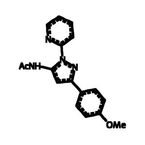 COc1ccc(-c2cc(NC(C)=O)n(-c3ccccn3)n2)cc1